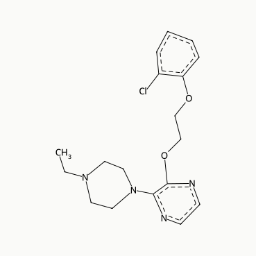 CCN1CCN(c2nccnc2OCCOc2ccccc2Cl)CC1